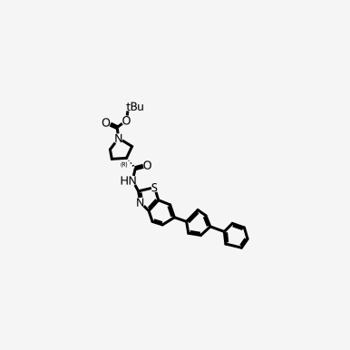 CC(C)(C)OC(=O)N1CC[C@@H](C(=O)Nc2nc3ccc(-c4ccc(-c5ccccc5)cc4)cc3s2)C1